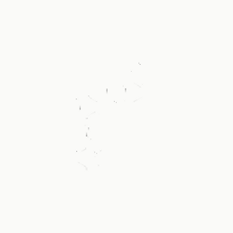 O=C(Nc1ccc2c(c1)CCCCC2)c1cccc(C#Cc2ncccn2)c1